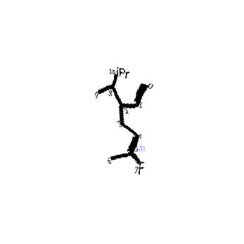 C=CC(C/C=C(\C)F)C(C)C(C)C